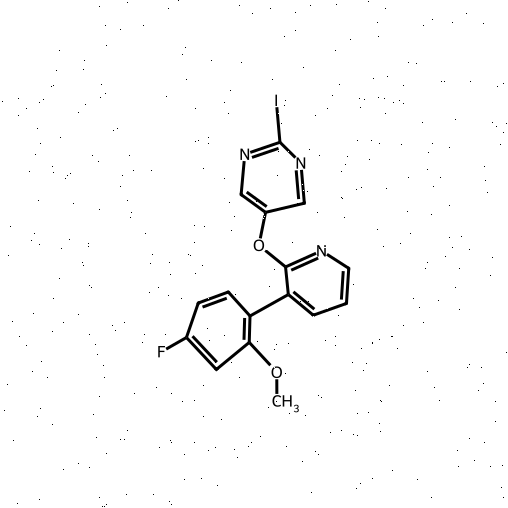 COc1cc(F)ccc1-c1cccnc1Oc1cnc(I)nc1